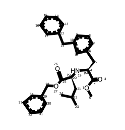 COC(=O)[C@H](Cc1cccc(Cc2ccccc2)c1)N[C@@H](CC(C)C)C(=O)OCc1ccccc1